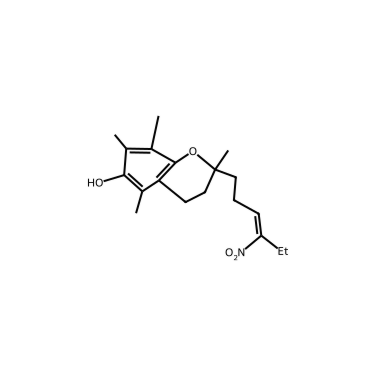 CC/C(=C/CCC1(C)CCc2c(C)c(O)c(C)c(C)c2O1)[N+](=O)[O-]